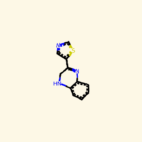 c1ccc2c(c1)N=C(c1cncs1)CN2